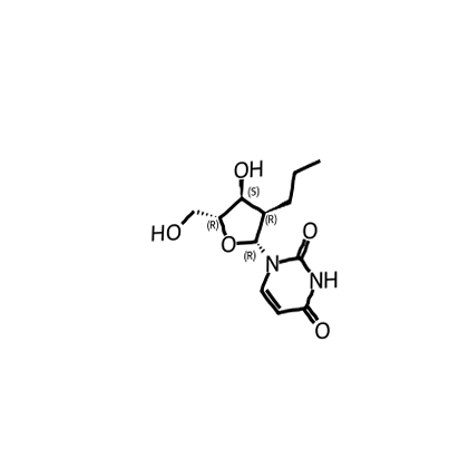 CCC[C@@H]1[C@H](O)[C@@H](CO)O[C@H]1n1ccc(=O)[nH]c1=O